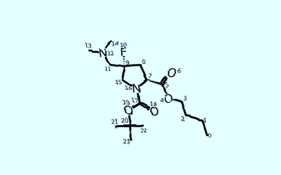 CCCCOC(=O)[C@@H]1C[C@](F)(CN(C)C)CN1C(=O)OC(C)(C)C